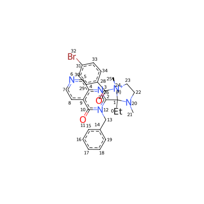 CCC1(c2nc3cnccc3c(=O)n2Cc2ccccc2)N(C)CC[N@@+]1(C)C(=O)c1ccc(Br)cc1